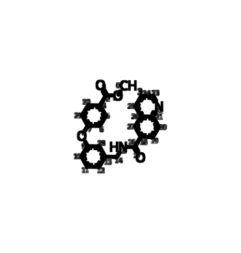 COC(=O)c1ccc(Oc2cccc(CNC(=O)c3ccc4ncccc4c3)c2)cc1